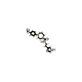 CCOc1ccc(N2CCCN(C(=O)NCCc3c[nH]cn3)CC2)cc1